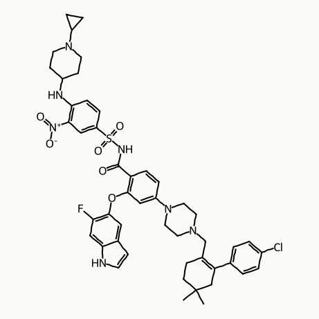 CC1(C)CCC(CN2CCN(c3ccc(C(=O)NS(=O)(=O)c4ccc(NC5CCN(C6CC6)CC5)c([N+](=O)[O-])c4)c(Oc4cc5cc[nH]c5cc4F)c3)CC2)=C(c2ccc(Cl)cc2)C1